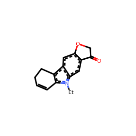 CCn1c2c(c3cc4c(cc31)C(=O)CO4)CCC=C2